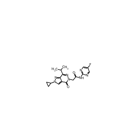 CC(C)c1nn(CC(=O)Nc2ncc(F)cn2)c(=O)c2cn(C3CC3)nc12